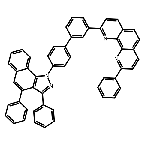 c1ccc(-c2ccc3ccc4ccc(-c5cccc(-c6ccc(-n7nc(-c8ccccc8)c8c(-c9ccccc9)cc9ccccc9c87)cc6)c5)nc4c3n2)cc1